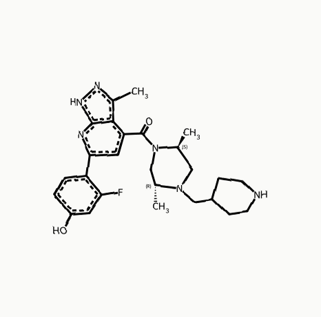 Cc1n[nH]c2nc(-c3ccc(O)cc3F)cc(C(=O)N3C[C@@H](C)N(CC4CCNCC4)C[C@@H]3C)c12